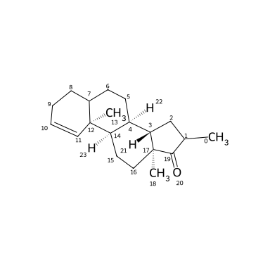 CC1C[C@H]2[C@@H]3CCC4CCC=C[C@]4(C)[C@@H]3CC[C@]2(C)C1=O